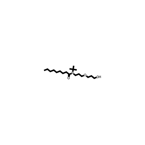 CCCCCCCCC(=O)N(CCCOCCCO)C(C)(C)C